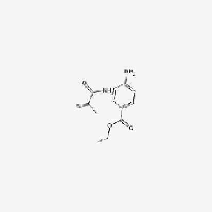 C=C(C)C(N)=O.CCOC(=O)c1ccc(N)cc1